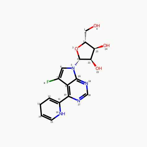 OC[C@H]1O[C@@H](n2cc(F)c3c(C4=CCC=CN4)ncnc32)[C@H](O)[C@@H]1O